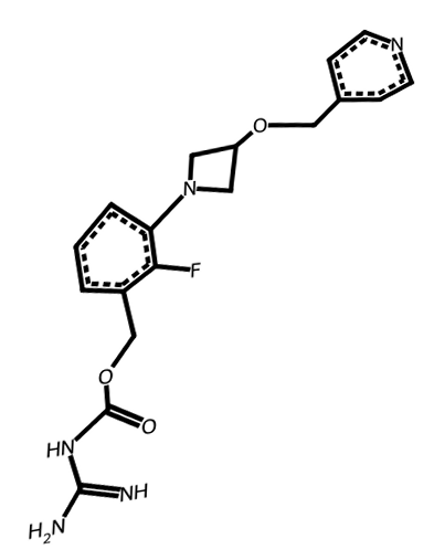 N=C(N)NC(=O)OCc1cccc(N2CC(OCc3ccncc3)C2)c1F